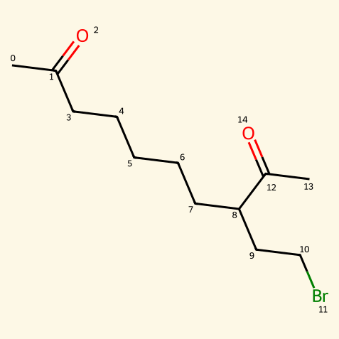 CC(=O)CCCCCC(CCBr)C(C)=O